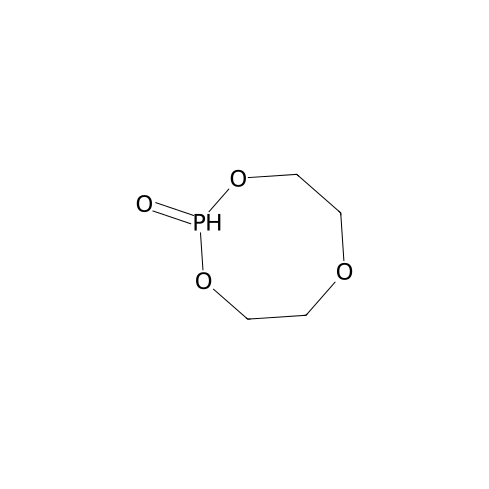 O=[PH]1OCCOCCO1